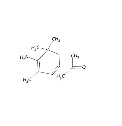 CC(C)=O.CC1=C(N)C(C)(C)CC=C1